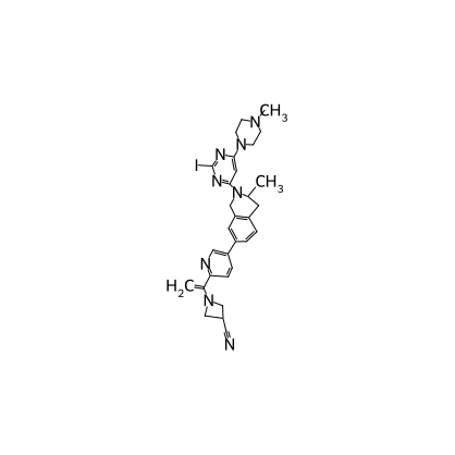 C=C(c1ccc(-c2ccc3c(c2)CN(c2cc(N4CCN(C)CC4)nc(I)n2)C(C)C3)cn1)N1CC(C#N)C1